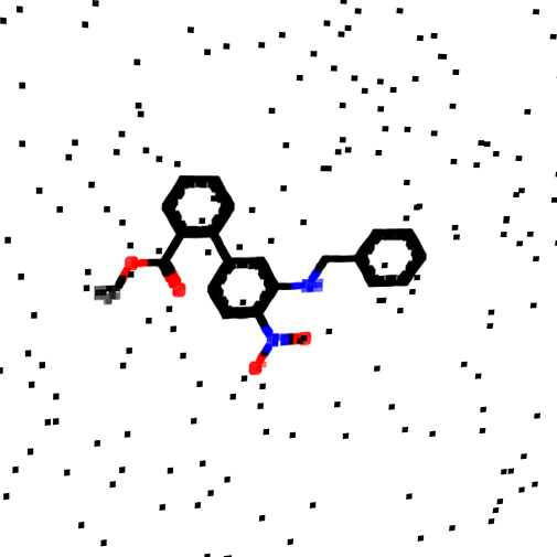 COC(=O)c1ccccc1-c1ccc([N+](=O)[O-])c(NCc2ccccc2)c1